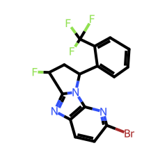 FC1CC(c2ccccc2C(F)(F)F)n2c1nc1ccc(Br)nc12